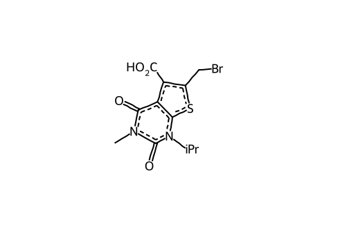 CC(C)n1c(=O)n(C)c(=O)c2c(C(=O)O)c(CBr)sc21